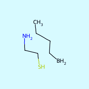 BCCCC.NCCS